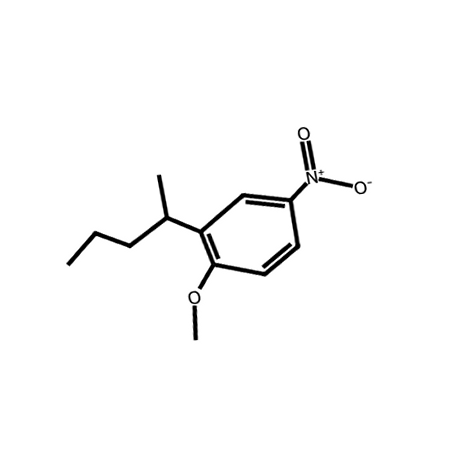 CCCC(C)c1cc([N+](=O)[O-])ccc1OC